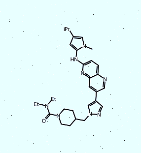 CCN(CC)C(=O)N1CCC(Cn2cc(-c3cnc4ccc(Nc5cc(C(C)C)cn5C)nc4c3)cn2)CC1